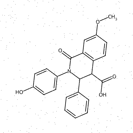 COc1ccc2c(c1)C(=O)N(c1ccc(O)cc1)C(c1ccccc1)C2C(=O)O